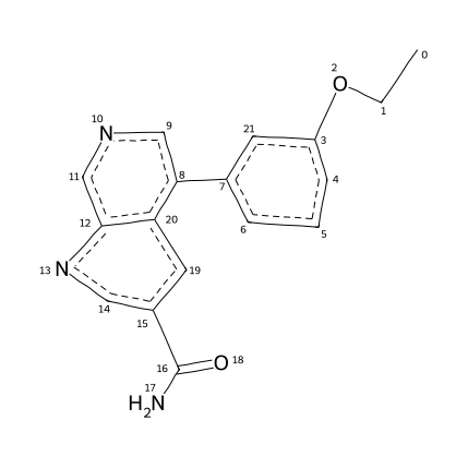 CCOc1cccc(-c2cncc3ncc(C(N)=O)cc23)c1